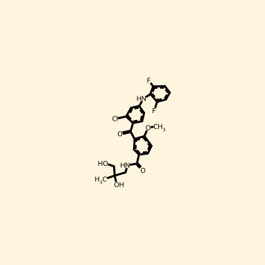 COc1ccc(C(=O)NCC(C)(O)CO)cc1C(=O)c1ccc(Nc2c(F)cccc2F)cc1Cl